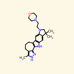 Cc1[nH]nc2c1CCCc1c-2[nH]c2cc3c(cc12)N(CCN1CCOCC1)CC3(C)C